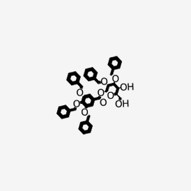 O=C(O[C@H]1O[C@H](CO)[C@@H](O)[C@H](OCc2ccccc2)[C@H]1OCc1ccccc1)c1cc(OCc2ccccc2)c(OCc2ccccc2)c(OCc2ccccc2)c1